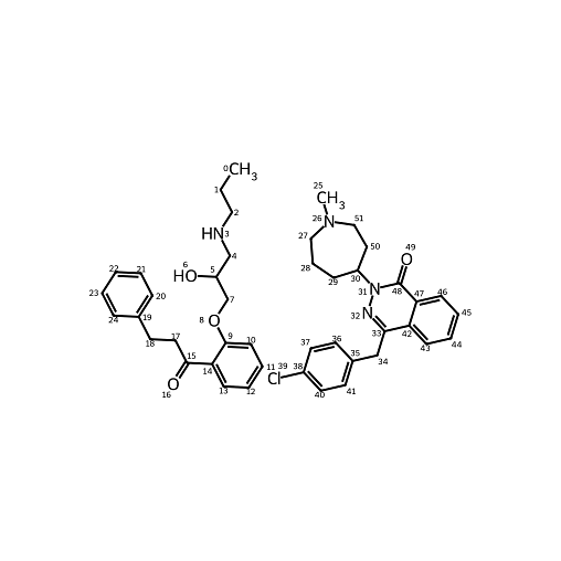 CCCNCC(O)COc1ccccc1C(=O)CCc1ccccc1.CN1CCCC(n2nc(Cc3ccc(Cl)cc3)c3ccccc3c2=O)CC1